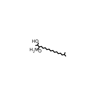 CC(C)CCCCCCCCCCCCC(C(N)=O)C(C)CO